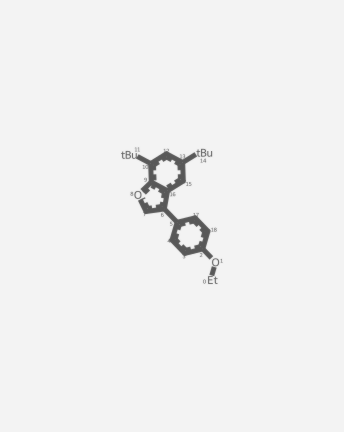 CCOc1ccc(-c2coc3c(C(C)(C)C)cc(C(C)(C)C)cc23)cc1